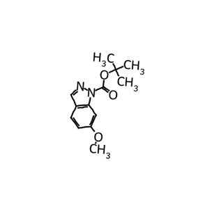 COc1ccc2cnn(C(=O)OC(C)(C)C)c2c1